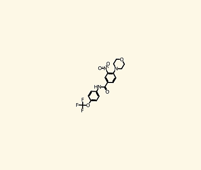 O=C(Nc1ccc(OC(F)(F)F)cc1)c1ccc(N2CCOCC2)c([N+](=O)[O-])c1